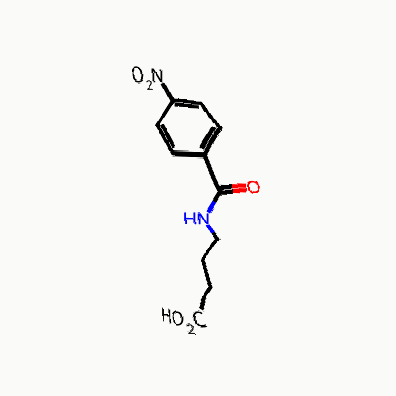 O=C(O)CCCNC(=O)c1ccc([N+](=O)[O-])cc1